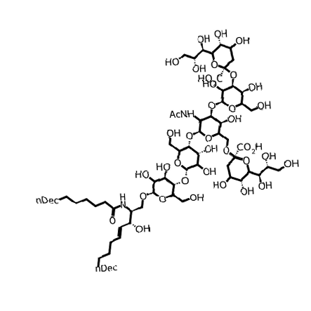 CCCCCCCCCCCCC/C=C/[C@@H](O)[C@H](CO[C@@H]1OC(CO)[C@@H](O[C@@H]2OC(CO)[C@H](O[C@@H]3OC(CO[C@]4(C(=O)O)CC(O)[C@@H](O)C([C@H](O)[C@H](O)CO)O4)[C@H](O)[C@H](O[C@@H]4OC(CO)[C@H](O)[C@H](O[C@]5(C(=O)O)CC(O)[C@@H](O)C([C@H](O)[C@H](O)CO)O5)C4O)C3NC(C)=O)[C@H](O)C2O)[C@H](O)C1O)NC(=O)CCCCCCCCCCCCCCC